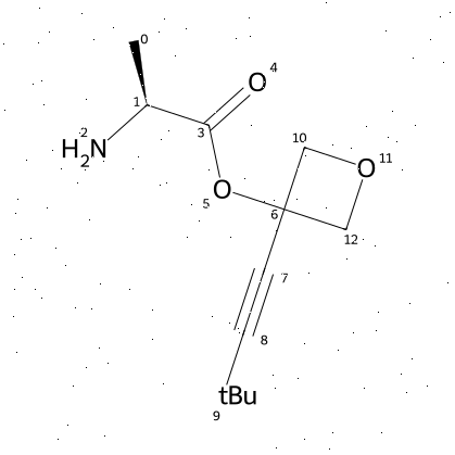 C[C@H](N)C(=O)OC1(C#CC(C)(C)C)COC1